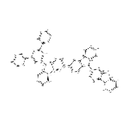 c1ccc(-c2cc(-c3ccccc3)cc(-n3c4ccccc4c4cc(-c5ccc6c(c5)c5ccccc5n6-c5ccc6c(c5)oc5ccccc56)ccc43)c2)cc1